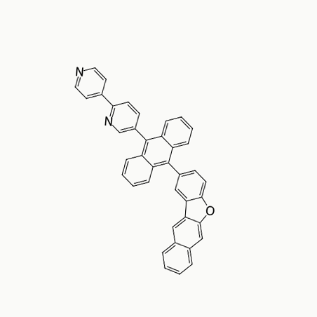 c1ccc2cc3c(cc2c1)oc1ccc(-c2c4ccccc4c(-c4ccc(-c5ccncc5)nc4)c4ccccc24)cc13